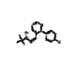 CC(C)(C)[S+]([O-])/N=C\c1nccnc1-c1ccc(Cl)cc1